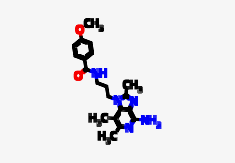 COc1ccc(C(=O)NCCCn2c(C)nc3c(N)nc(C)c(C)c32)cc1